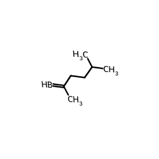 B=C(C)CCC(C)C